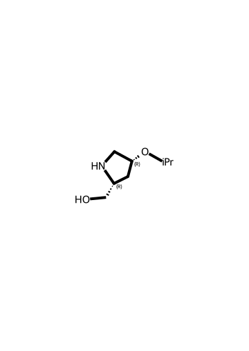 CC(C)O[C@H]1CN[C@@H](CO)C1